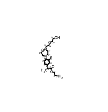 CN(C(=O)OCCN)c1ccc(N2CCON(CCOCCO)CC2)c(F)c1